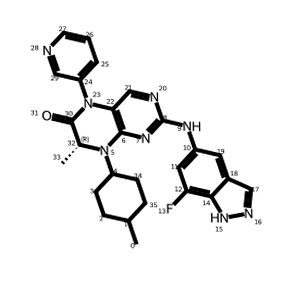 CC1CCC(N2c3nc(Nc4cc(F)c5[nH]ncc5c4)ncc3N(c3cccnc3)C(=O)[C@H]2C)CC1